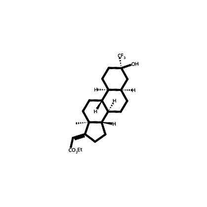 CCOC(=O)/C=C1\CC[C@H]2[C@@H]3CC[C@@H]4C[C@@](O)(C(F)(F)F)CC[C@@H]4[C@H]3CC[C@]12C